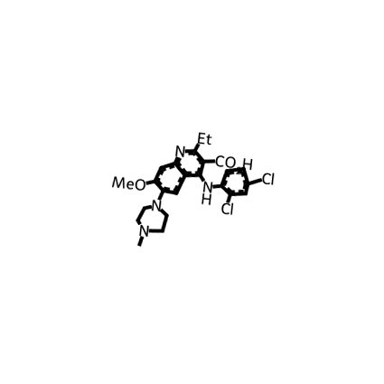 CCc1nc2cc(OC)c(N3CCN(C)CC3)cc2c(Nc2ccc(Cl)cc2Cl)c1C(=O)O